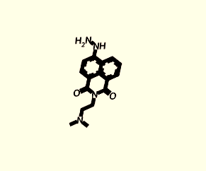 CN(C)CCN1C(=O)c2cccc3c(NN)ccc(c23)C1=O